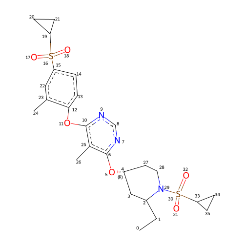 CCC1C[C@H](Oc2ncnc(Oc3ccc(S(=O)(=O)C4CC4)cc3C)c2C)CCN1S(=O)(=O)C1CC1